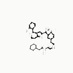 O=C(CC1CCCCC1)Nc1cncc(-c2ccc3[nH]nc(-c4cc5c(-c6ccccc6F)nccc5[nH]4)c3c2)c1